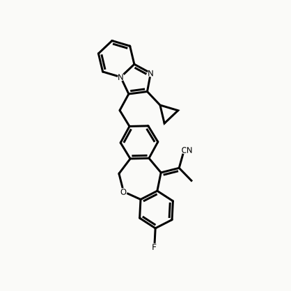 C/C(C#N)=C1/c2ccc(Cc3c(C4CC4)nc4ccccn34)cc2COc2cc(F)ccc21